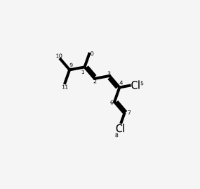 C\C(=C/C=C(Cl)\C=C\Cl)C(C)C